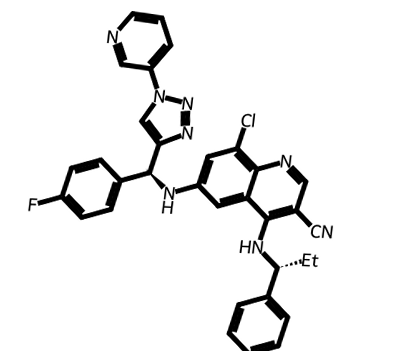 CC[C@@H](Nc1c(C#N)cnc2c(Cl)cc(N[C@@H](c3ccc(F)cc3)c3cn(-c4cccnc4)nn3)cc12)c1ccccc1